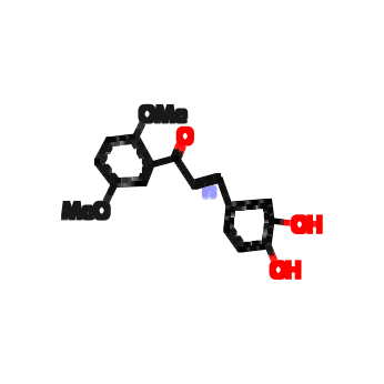 COc1ccc(OC)c(C(=O)/C=C/c2ccc(O)c(O)c2)c1